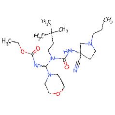 CCCN1CCC(C#N)(NC(=O)N(CCC(C)(C)C)C(=NC(=O)OCC)N2CCOCC2)C1